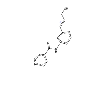 O=C(Nc1cccc(/C=C/CO)c1)c1ccncc1